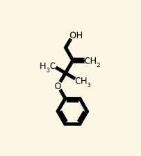 C=C(CO)C(C)(C)Oc1ccccc1